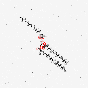 CCCCCCCCCCCCCCCCC(C)C(=O)OCC(COC(=O)C(C)CCCCCCCCCCCCCCCC)OC(=O)CCCCCCCCCCCCCCC